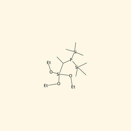 CCO[Si](OCC)(OCC)C(C)P([Si](C)(C)C)[Si](C)(C)C